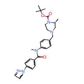 C[C@H]1CN(Cc2ccc(N(C)C(=O)c3ccc(-n4cccn4)cc3)cc2)CCN1C(=O)OC(C)(C)C